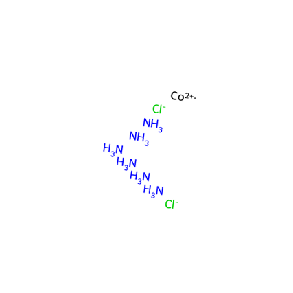 N.N.N.N.N.N.[Cl-].[Cl-].[Co+2]